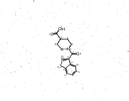 O=C(O)C1CCN(C(=O)c2nsc3ccccc23)CC1